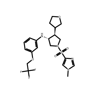 Cn1cnc(S(=O)(=O)N2C[C@H](Nc3cccc(OCC(F)(F)F)c3)[C@@H](C3CCOC3)C2)c1